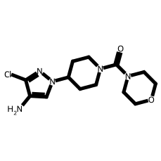 Nc1cn(C2CCN(C(=O)N3CCOCC3)CC2)nc1Cl